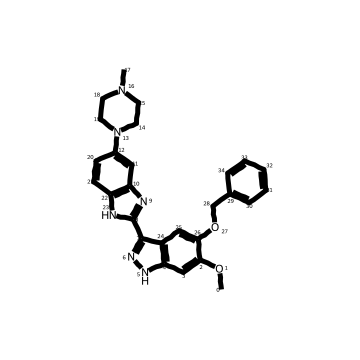 COc1cc2[nH]nc(-c3nc4cc(N5CCN(C)CC5)ccc4[nH]3)c2cc1OCc1ccccc1